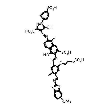 COc1ccc2nc(N=Nc3cc(OCCCS(=O)(=O)O)c(N=Nc4c(S(=O)(=O)O)cc5c(C)c(N=Nc6c(C(=O)O)nn(-c7ccc(S(=O)(=O)O)cc7)c6O)ccc5c4O)cc3C)sc2c1